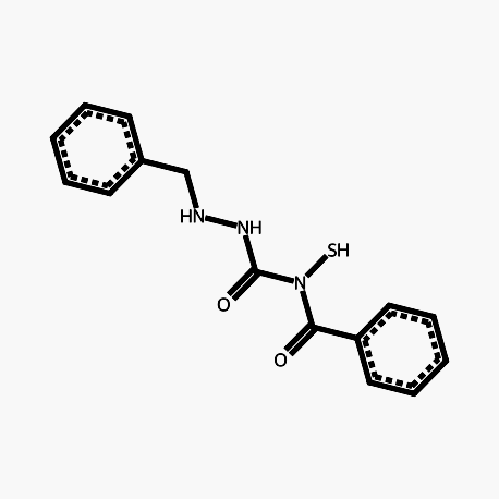 O=C(NNCc1ccccc1)N(S)C(=O)c1ccccc1